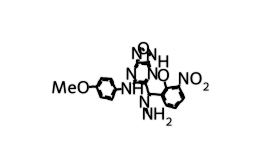 COc1ccc(Nc2nc3nonc3nc2C(=NN)c2cccc([N+](=O)[O-])c2O)cc1